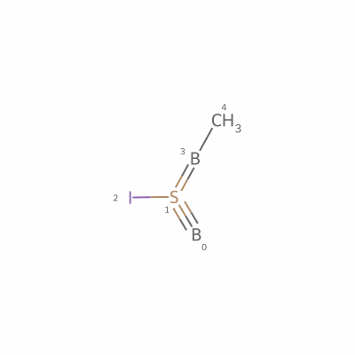 B#S(I)=BC